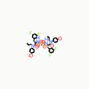 C=CCN(C(=O)[C@H](Cc1cc(F)cc(F)c1)NS(=O)(=O)CS(=O)(=O)N[C@H](Cc1cc(F)cc(F)c1)C(=O)N(CC=C)c1ccc(OC)cc1)c1ccc(OC)cc1